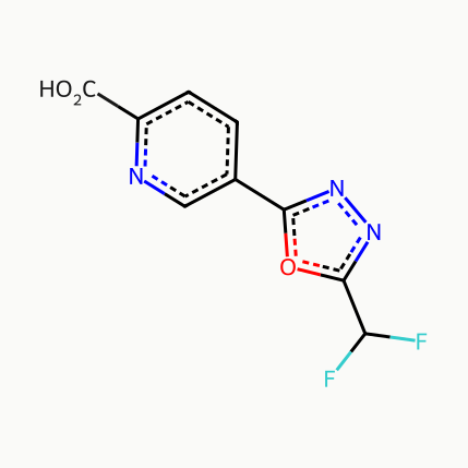 O=C(O)c1ccc(-c2nnc(C(F)F)o2)cn1